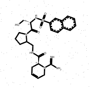 N=C(N)N1CC=CC[C@H]1C(=O)NCC1CCCN1C(=O)[C@H](CO)NS(=O)(=O)c1ccc2ccccc2c1